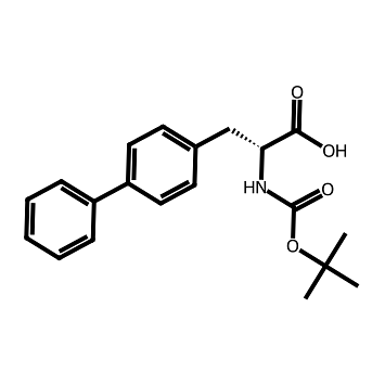 CC(C)(C)OC(=O)N[C@H](Cc1ccc(-c2ccccc2)cc1)C(=O)O